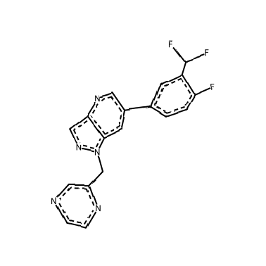 Fc1ccc(-c2cnc3cnn(Cc4cnccn4)c3c2)cc1C(F)F